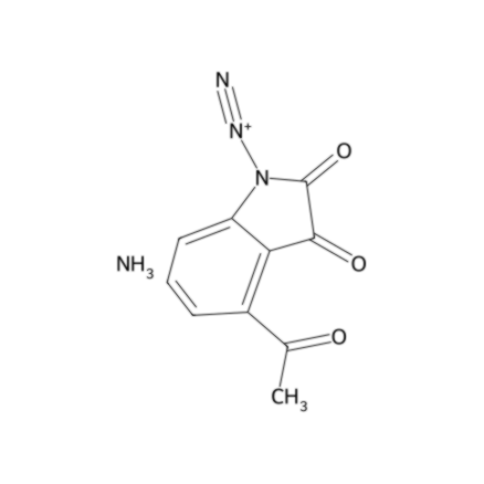 CC(=O)c1cccc2c1C(=O)C(=O)N2[N+]#N.N